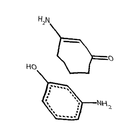 NC1=CC(=O)CCC1.Nc1cccc(O)c1